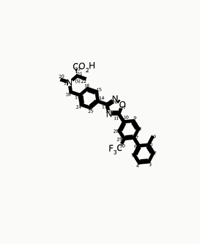 Cc1ccccc1-c1ccc(-c2nc(-c3ccc(CN(C)[C@@H](C)C(=O)O)cc3)no2)cc1C(F)(F)F